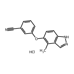 Cc1c(Oc2cccc(C#N)c2)ccc2[nH]ncc12.Cl